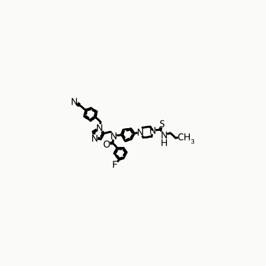 CCCNC(=S)N1CCN(c2ccc(N(Cc3cncn3Cc3ccc(C#N)cc3)C(=O)c3cccc(F)c3)cc2)CC1